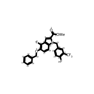 COC(=O)c1cc2c(F)c(OCc3ccccc3)ccc2n1Cc1ccc(F)c(C(F)(F)F)c1